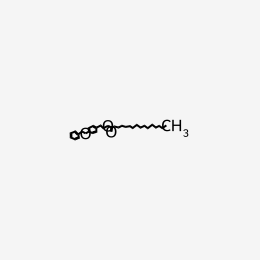 CCCCCCCCCCCCCCCC(=O)OCCc1ccc(OCc2ccccc2)cc1